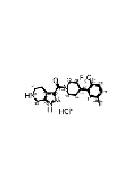 Cl.O=C(c1n[nH]c2c1CCNC2)N1CCC(c2cc(F)ccc2C(F)(F)F)CC1